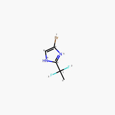 CC(F)(F)c1nc(Br)c[nH]1